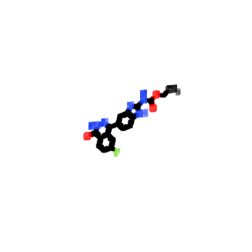 CCOC(=O)Nc1nc2cc(-c3n[nH]c(=O)c4ccc(F)cc34)ccc2[nH]1